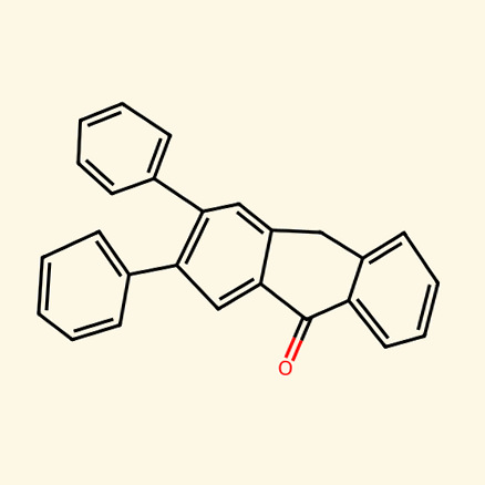 O=C1c2ccccc2Cc2cc(-c3ccccc3)c(-c3ccccc3)cc21